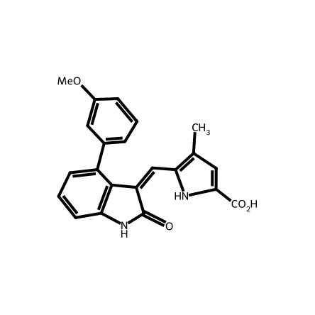 COc1cccc(-c2cccc3c2C(=Cc2[nH]c(C(=O)O)cc2C)C(=O)N3)c1